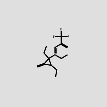 C=C(/C=[N+](\CC)C1(CC)C(=C)C1CC)C(F)(F)F